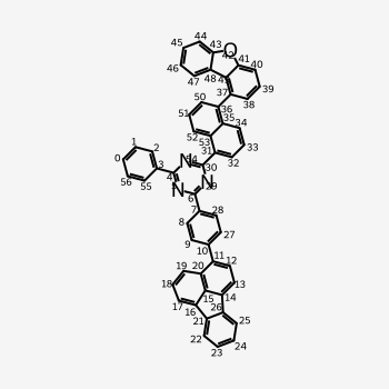 c1ccc(-c2nc(-c3ccc(-c4ccc5c6c(cccc46)-c4ccccc4-5)cc3)nc(-c3cccc4c(-c5cccc6oc7ccccc7c56)cccc34)n2)cc1